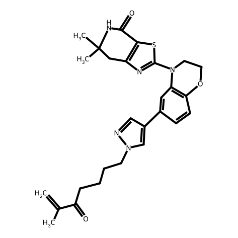 C=C(C)C(=O)CCCCn1cc(-c2ccc3c(c2)N(c2nc4c(s2)C(=O)NC(C)(C)C4)CCO3)cn1